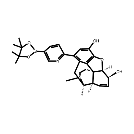 CN1CC[C@]23c4c5c(-c6ccc(B7OC(C)(C)C(C)(C)O7)cn6)cc(O)c4O[C@H]2[C@@H](O)C=C[C@H]3[C@H]1C5